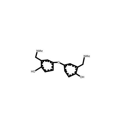 CNCc1cc(Oc2ccc(O)c(CNC)c2)ccc1O